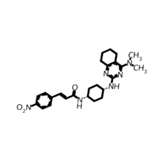 CN(C)c1nc(N[C@H]2CC[C@@H](NC(=O)C=Cc3ccc([N+](=O)[O-])cc3)CC2)nc2c1CCCC2